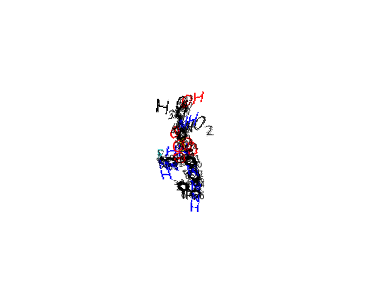 CC(C)c1ccccc1[C@@H]1CNCC[C@@H]1N1CC2(CCN(c3ccc(C(=O)NS(=O)(=O)c4cc5c(c([N+](=O)[O-])c4)N[C@@H]([C@H]4CC[C@](C)(O)CC4)CO5)c(Oc4cnc5[nH]cc(F)c5c4)c3)CC2)C1